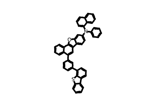 c1ccc(N(c2ccc3c(c2)oc2c4ccccc4c(-c4cccc(-c5cccc6c5sc5ccccc56)c4)cc32)c2cccc3ccccc23)cc1